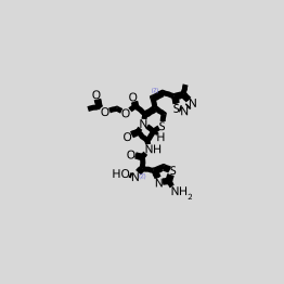 CC(=O)OCOC(=O)C1=C(/C=C\c2snnc2C)CS[C@@H]2C(NC(=O)/C(=N\O)c3csc(N)n3)C(=O)N12